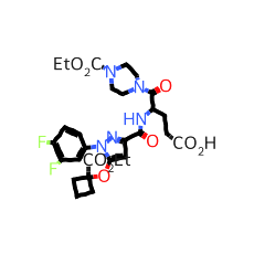 CCOC(=O)N1CCN(C(=O)C(CCC(=O)O)NC(=O)c2cc(OC3(C(=O)OCC)CCC3)n(-c3ccc(F)c(F)c3)n2)CC1